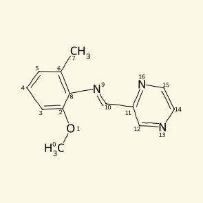 COc1cccc(C)c1/N=C/c1cnccn1